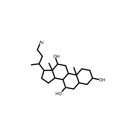 CC(=O)CCC(C)C1CCC2C3C(O)CC4CC(O)CCC4(C)C3CC(O)C12C